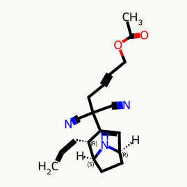 C=C=C[C@@H]1C(C(C#N)(C#N)CC#CCOC(C)=O)=C[C@H]2CC[C@@H]1N2